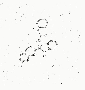 Cc1ccc2ccc(N3C(=O)c4ccccc4C3OC(=O)Oc3ccccc3)nc2n1